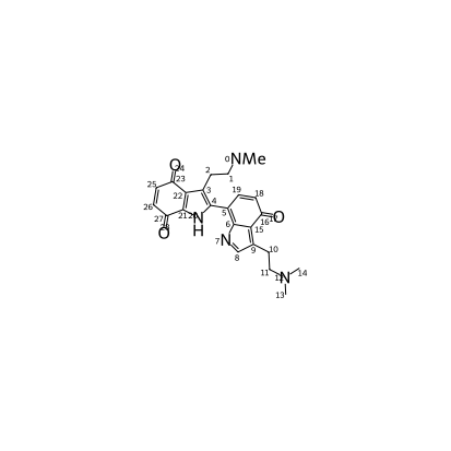 CNCCc1c(C2=C3N=CC(CCN(C)C)=C3C(=O)C=C2)[nH]c2c1C(=O)C=CC2=O